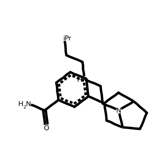 CC(C)CCNCCN1C2CCC1CC(c1cccc(C(N)=O)c1)C2